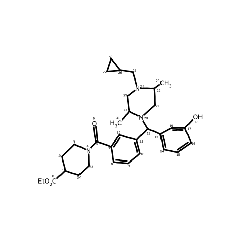 CCOC(=O)C1CCN(C(=O)c2cccc(C(c3cccc(O)c3)N3CC(C)N(CC4CC4)CC3C)c2)CC1